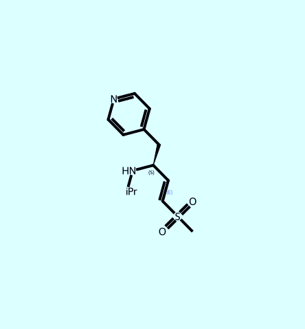 CC(C)N[C@H](/C=C/S(C)(=O)=O)Cc1ccncc1